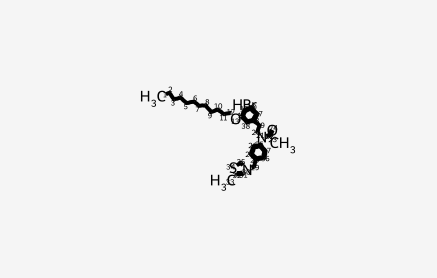 Br.CCCCCCCCCCCCOc1cccc(CCN(C(C)=O)c2ccc(CN3C=C(C)SC3)cc2)c1